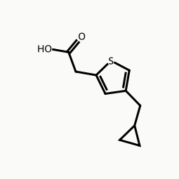 O=C(O)Cc1cc(CC2CC2)cs1